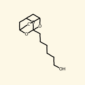 OCCCCCCC12OC3CC(CC(C3)O1)O2